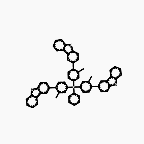 Cc1cc([Si](c2ccccc2)(c2ccc(-c3ccc4sc5ccccc5c4c3)c(C)c2)c2ccc(-c3ccc4sc5ccccc5c4c3)c(C)c2)ccc1-c1ccc2sc3ccccc3c2c1